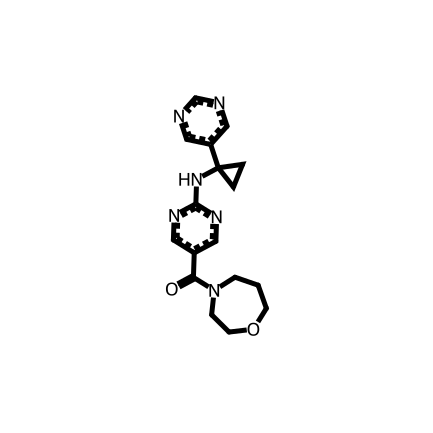 O=C(c1cnc(NC2(c3cncnc3)CC2)nc1)N1CCCOCC1